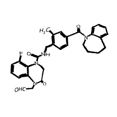 Cc1cc(C(=O)N2CCCCc3ccccc32)ccc1CNC(=O)N1CC(=O)N(CC=O)c2cccc(F)c21